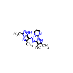 [C-]#[N+]c1c(C)nn(-c2ncccn2)c1/N=N/c1c(C)nn2c(C)n[nH]c12